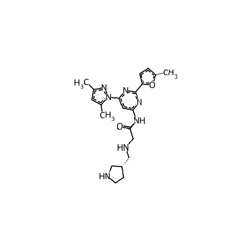 Cc1cc(C)n(-c2cc(NC(=O)CNC[C@@H]3CCNC3)nc(-c3ccc(C)o3)n2)n1